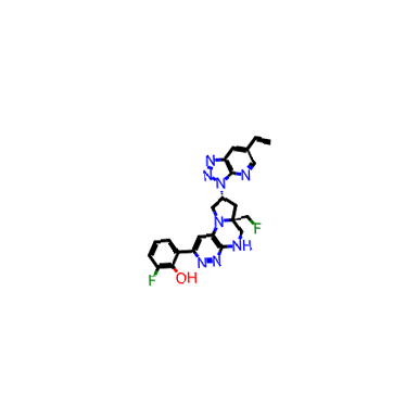 C=Cc1cnc2c(c1)nnn2[C@H]1CN2c3cc(-c4cccc(F)c4O)nnc3NC[C@@]2(CF)C1